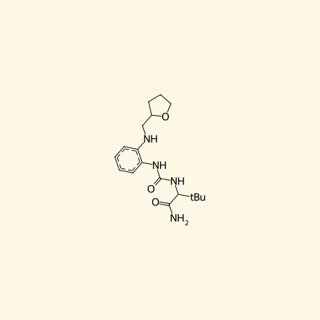 CC(C)(C)C(NC(=O)Nc1ccccc1NCC1CCCO1)C(N)=O